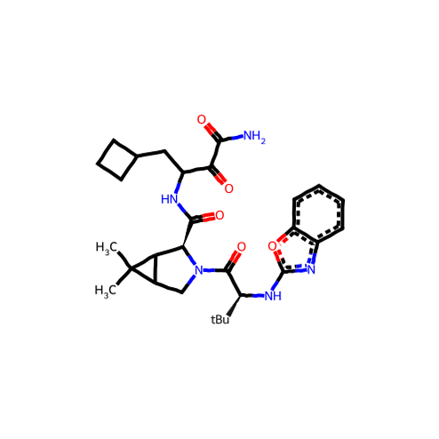 CC1(C)C2CN(C(=O)[C@@H](Nc3nc4ccccc4o3)C(C)(C)C)[C@H](C(=O)NC(CC3CCC3)C(=O)C(N)=O)C21